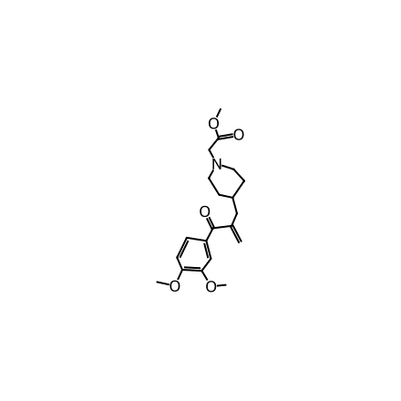 C=C(CC1CCN(CC(=O)OC)CC1)C(=O)c1ccc(OC)c(OC)c1